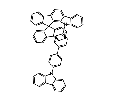 c1ccc2c(c1)-c1ccccc1C21c2ccccc2-c2ccc3c4ccccc4n(-c4ccc(-c5ccc(-n6c7ccccc7c7ccccc76)cc5)cc4)c3c21